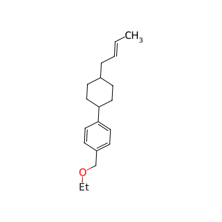 C/C=C/CC1CCC(c2ccc(COCC)cc2)CC1